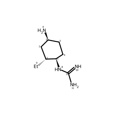 CC[C@@H]1C[C@@H](N)CC[C@H]1NC(=N)N